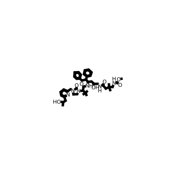 COC(=O)NCC(C)(C)CC(=O)NCC(O)CC(NC(=O)C(N1CCN(Cc2cccc(CC(C)O)n2)C1=O)C(C)(C)C)C(Cc1ccccc1)c1ccccc1